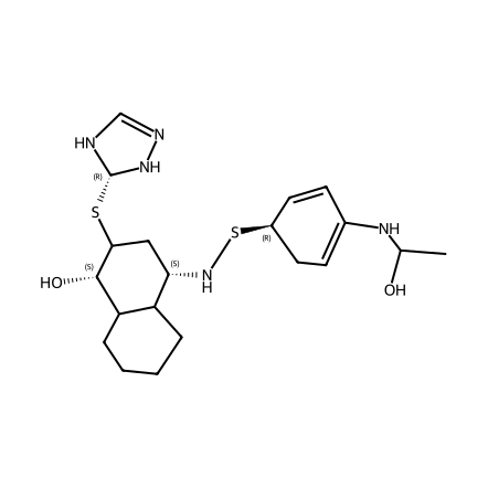 CC(O)NC1=CC[C@@H](SN[C@H]2CC(S[C@@H]3NC=NN3)[C@@H](O)C3CCCCC32)C=C1